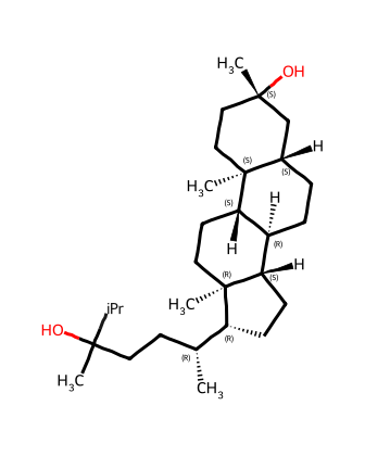 CC(C)C(C)(O)CC[C@@H](C)[C@H]1CC[C@H]2[C@@H]3CC[C@H]4C[C@@](C)(O)CC[C@]4(C)[C@H]3CC[C@]12C